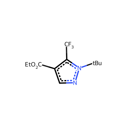 CCOC(=O)c1cnn(C(C)(C)C)c1C(F)(F)F